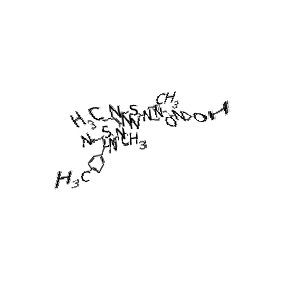 CCc1nc2sc(N3CCN(CC(=O)N4CC(O)C4)[C@H](C)C3)nn2c1N(C)c1nc(-c2ccc(C)cc2)c(C#N)s1